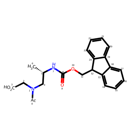 CC(=O)N(CC(=O)O)C[C@H](C)NC(=O)OCC1c2ccccc2-c2ccccc21